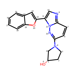 O[C@H]1CCN(c2ccc3ncc(-c4cc5ccccc5o4)n3n2)C1